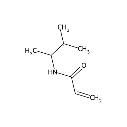 C=CC(=O)NC(C)[C](C)C